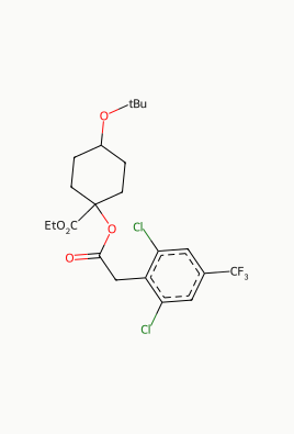 CCOC(=O)C1(OC(=O)Cc2c(Cl)cc(C(F)(F)F)cc2Cl)CCC(OC(C)(C)C)CC1